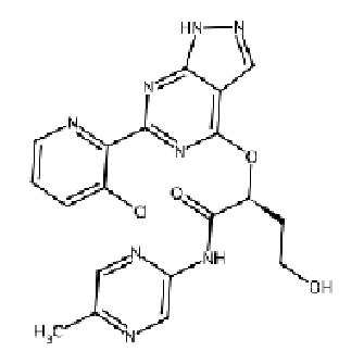 Cc1cnc(NC(=O)[C@H](CCO)Oc2nc(-c3ncccc3Cl)nc3[nH]ncc23)cn1